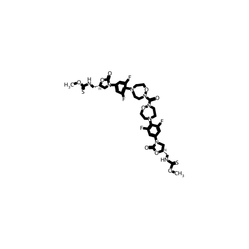 COC(=S)NC[C@H]1CN(c2cc(F)c(N3CCON(C(=O)N4CCN(c5c(F)cc(N6C[C@H](CNC(=S)OC)OC6=O)cc5F)CCO4)CC3)c(F)c2)C(=O)O1